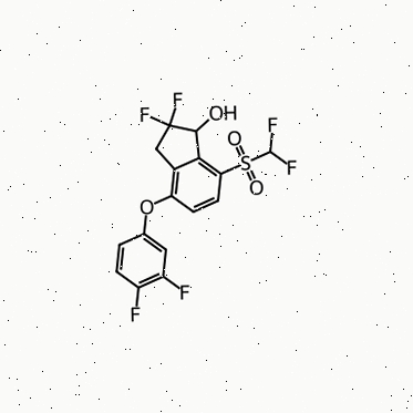 O=S(=O)(c1ccc(Oc2ccc(F)c(F)c2)c2c1C(O)C(F)(F)C2)C(F)F